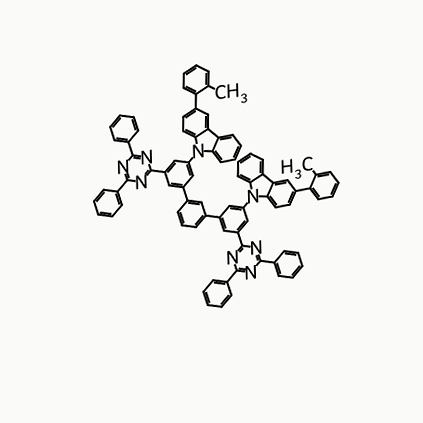 Cc1ccccc1-c1ccc2c(c1)c1ccccc1n2-c1cc(-c2cccc(-c3cc(-c4nc(-c5ccccc5)nc(-c5ccccc5)n4)cc(-n4c5ccccc5c5cc(-c6ccccc6C)ccc54)c3)c2)cc(-c2nc(-c3ccccc3)nc(-c3ccccc3)n2)c1